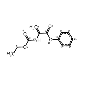 C=C(NC(=O)OCC)C(=O)Oc1ccccc1